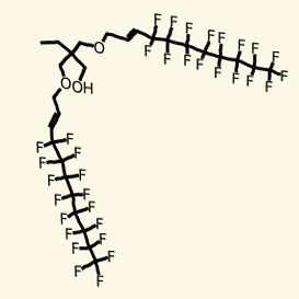 CCC(CO)(COCC=CC(F)(F)C(F)(F)C(F)(F)C(F)(F)C(F)(F)C(F)(F)C(F)(F)C(F)(F)F)COCC=CC(F)(F)C(F)(F)C(F)(F)C(F)(F)C(F)(F)C(F)(F)C(F)(F)C(F)(F)F